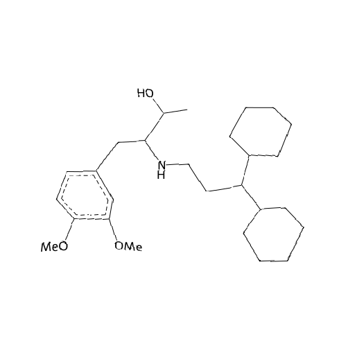 COc1ccc(CC(NCCC(C2CCCCC2)C2CCCCC2)C(C)O)cc1OC